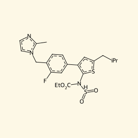 CCOC(=O)N(c1sc(CC(C)C)cc1-c1ccc(Cn2ccnc2C)c(F)c1)[SH](=O)=O